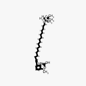 COc1cccc(C#CCCCCCCCCCCCCCCCCO[Si](C)(C)C(C)(C)C)c1NC(=O)O